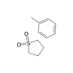 Cc1ccccc1.O=S1(=O)CCCC1